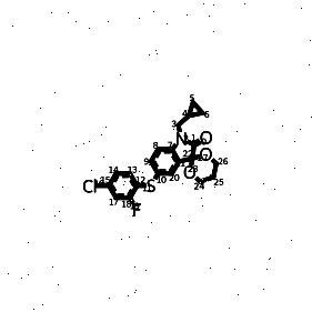 O=C1N(CC2CC2)c2ccc(Sc3ccc(Cl)cc3F)cc2C12OCCCO2